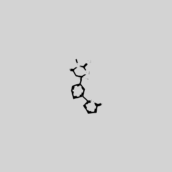 CN1C(=N)N[C@](C)(c2cccc(-c3cccc(=O)[nH]3)c2)CC1=O